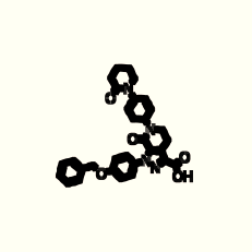 O=C(O)c1nn(-c2ccc(OCc3ccccc3)cc2)c2c1CCN(C1C=CC(N3CCCCC3=O)=CC1)C2=O